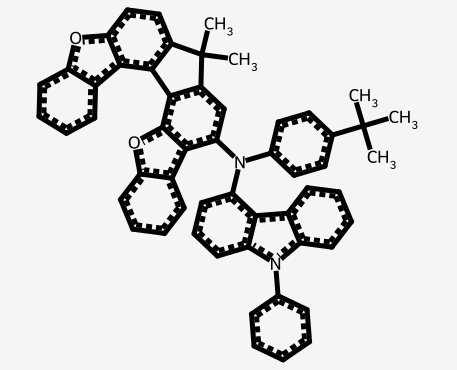 CC(C)(C)c1ccc(N(c2cc3c(c4oc5ccccc5c24)-c2c(ccc4oc5ccccc5c24)C3(C)C)c2cccc3c2c2ccccc2n3-c2ccccc2)cc1